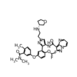 Cc1ccc(Oc2ccc(OC(F)F)c(-c3nn(CCN[C@@H]4CCOC4)cc3NC(=O)c3cnn4cccnc34)c2)cc1C(=O)N(C)C